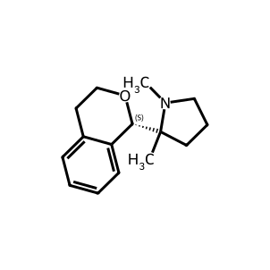 CN1CCCC1(C)[C@H]1OCCc2ccccc21